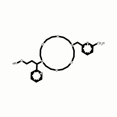 CCCOCCC(c1ccccn1)N1CCOCCOCCN(Cc2cccc(C(=O)O)n2)CCOCCOCC1